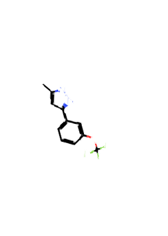 CC1=CC(c2cccc(OC(F)(F)F)c2)=N[N]1